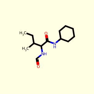 CCC(C)C(NC=O)C(=O)NC1CCCCC1